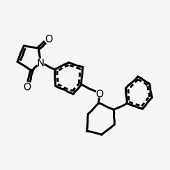 O=C1C=CC(=O)N1c1ccc(OC2CCCCC2c2ccccc2)cc1